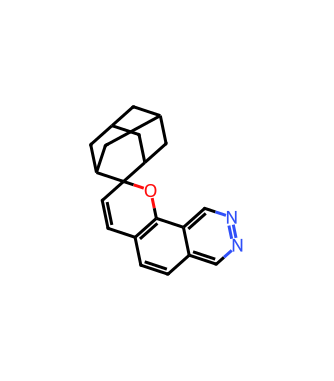 C1=CC2(Oc3c1ccc1cnncc31)C1CC3CC(C1)CC2C3